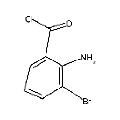 Nc1c(Br)cccc1C(=O)Cl